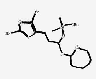 CC(C)(C)[Si](C)(C)OC(CCc1nc(Br)sc1Br)OC1CCCCO1